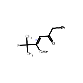 CO/C(=C\C(=O)CC(C)C)C(C)(C)F